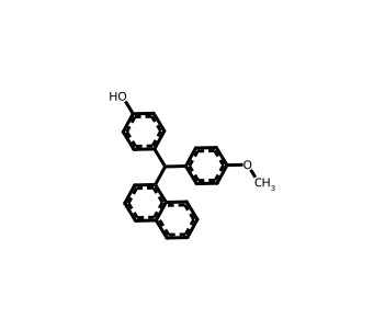 COc1ccc(C(c2ccc(O)cc2)c2cccc3ccccc23)cc1